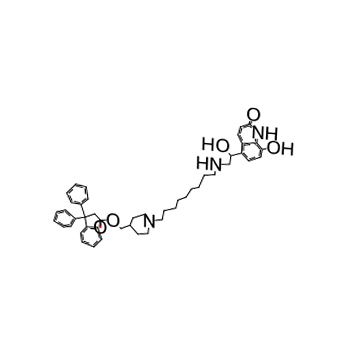 O=C(CC(c1ccccc1)(c1ccccc1)c1ccccc1)OCC1CCN(CCCCCCCCCNCC(O)c2ccc(O)c3[nH]c(=O)ccc23)CC1